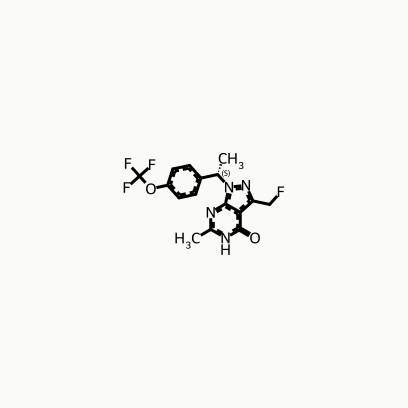 Cc1nc2c(c(CF)nn2[C@@H](C)c2ccc(OC(F)(F)F)cc2)c(=O)[nH]1